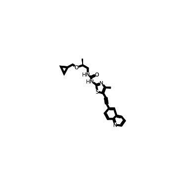 Cc1nc(NC(=O)NC[C@H](C)OCC2CC2)sc1C#Cc1ccc2ncccc2c1